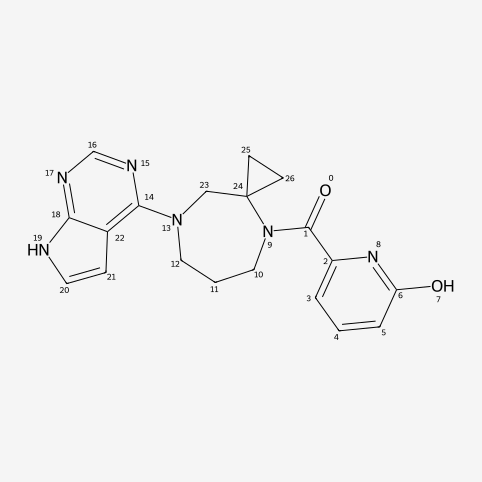 O=C(c1cccc(O)n1)N1CCCN(c2ncnc3[nH]ccc23)CC12CC2